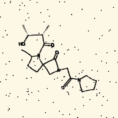 CC1CCC2(CN(CC(=O)N3CCCC3)C2=O)N1C(=O)[C@@H](C)[C@@H](C)O